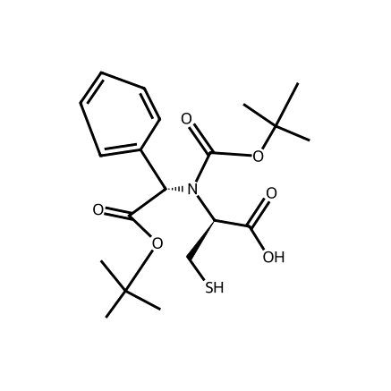 CC(C)(C)OC(=O)[C@H](c1ccccc1)N(C(=O)OC(C)(C)C)[C@H](CS)C(=O)O